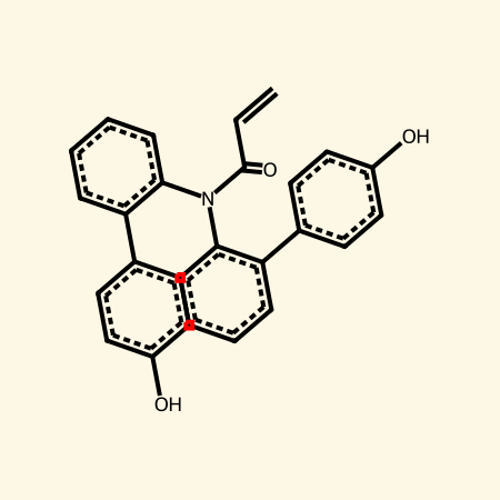 C=CC(=O)N(c1ccccc1-c1ccc(O)cc1)c1ccccc1-c1ccc(O)cc1